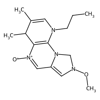 CCCN1C=C(C)C(C)C2=C1N1CN(OC)C=C1C=[N+]2[O-]